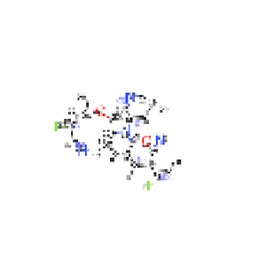 C/C=C(F)\C(C#N)=C(/C)c1cc2c(n(C(/C=N\C)=C/CC)c1=O)COC(C)/C=C(F)\C=N/C2